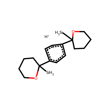 [H+].[SiH3]C1(c2ccc(C3([SiH3])CCCCO3)cc2)CCCCO1